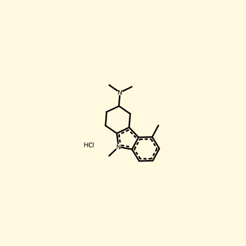 Cc1cccc2c1c1c(n2C)CCC(N(C)C)C1.Cl